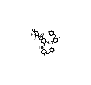 C[C@H]1CC[C@@H](N)CN1Cc1ccccc1.C[C@H]1CC[C@@H](NCc2ccc3c(c2)CN(C2CCC(=O)NC2=O)C3=O)CN1Cc1ccccc1